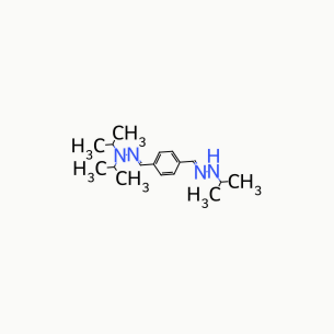 CC(C)N/N=C/c1ccc(/C=N/N(C(C)C)C(C)C)cc1